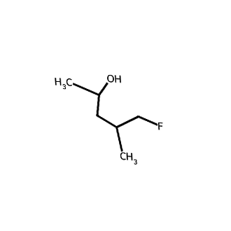 CC(O)CC(C)CF